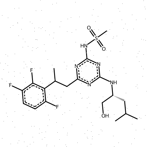 CC(C)C[C@H](CO)Nc1nc(CC(C)c2c(F)ccc(F)c2F)nc(NS(C)(=O)=O)n1